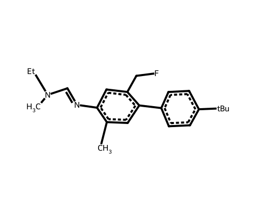 CCN(C)/C=N/c1cc(CF)c(-c2ccc(C(C)(C)C)cc2)cc1C